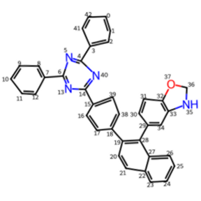 c1ccc(-c2nc(-c3ccccc3)nc(-c3ccc(-c4ccc5ccccc5c4-c4ccc5c(c4)NCO5)cc3)n2)cc1